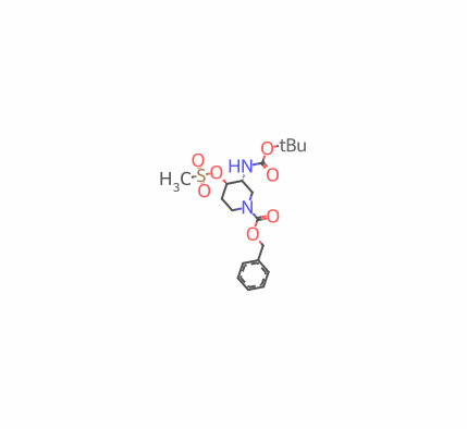 CC(C)(C)OC(=O)N[C@@H]1CN(C(=O)OCc2ccccc2)CC[C@H]1OS(C)(=O)=O